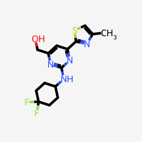 Cc1csc(-c2cc(CO)nc(NC3CCC(F)(F)CC3)n2)n1